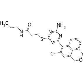 CCCNC(=O)CCSc1nc(N)nc(-c2c(Cl)cc3c4c(cccc24)COC3)n1